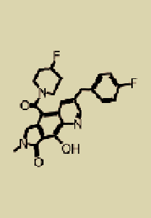 CN1Cc2c(c(O)c3ncc(Cc4ccc(F)cc4)cc3c2C(=O)N2CCC(F)CC2)C1=O